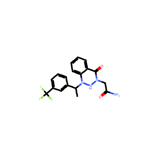 CC(c1cccc(C(F)(F)F)c1)N1NN(CC(N)=O)C(=O)c2ccccc21